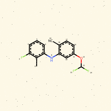 Cc1c(F)cccc1Nc1cc(OC(F)F)ccc1C#N